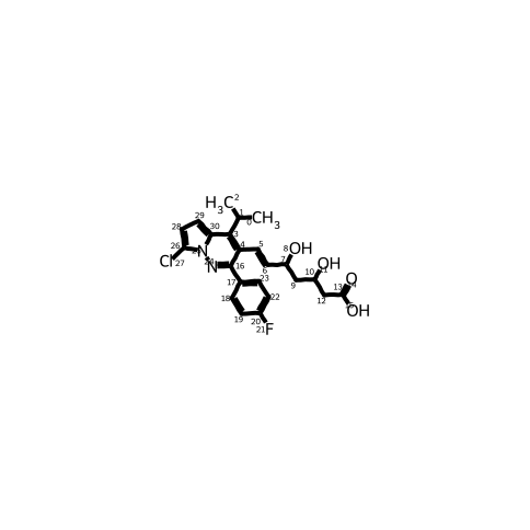 CC(C)c1c(/C=C/C(O)CC(O)CC(=O)O)c(-c2ccc(F)cc2)nn2c(Cl)ccc12